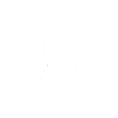 CC(C)CC(=O)Nc1cncc(-c2ccc3[nH]nc(-c4nc5c(-c6ccccn6)ccnc5[nH]4)c3c2)c1